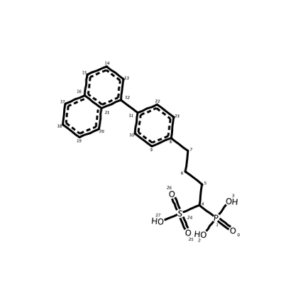 O=P(O)(O)C(CCCc1ccc(-c2cccc3ccccc23)cc1)S(=O)(=O)O